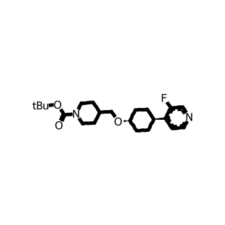 CC(C)(C)OC(=O)N1CCC(CO[C@H]2CC[C@H](c3ccncc3F)CC2)CC1